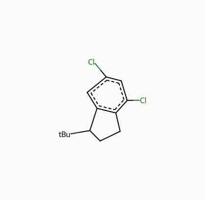 CC(C)(C)C1CCc2c(Cl)cc(Cl)cc21